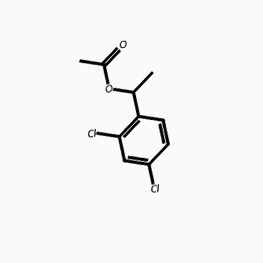 CC(=O)OC(C)c1ccc(Cl)cc1Cl